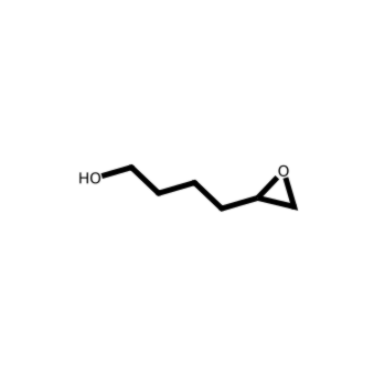 OCCCCC1CO1